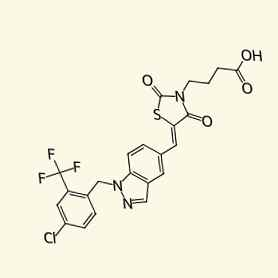 O=C(O)CCCN1C(=O)S/C(=C\c2ccc3c(cnn3Cc3ccc(Cl)cc3C(F)(F)F)c2)C1=O